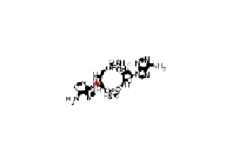 Nc1ncnc2c1ncn2[C@@H]1O[C@@H]2CO[P@](=O)(S)O[C@@H]3[C@@H](F)[C@@H](CO[P@@](=O)(S)O[C@H]2[C@H]1F)O[C@H]3n1cnc2c(N)ncnc21